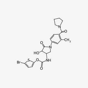 Cc1cc(N2CC(NC(=O)Oc3ccc(Br)s3)C(O)C2=O)ccc1C(=O)N1CCCC1